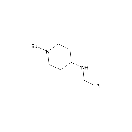 CCC(C)N1CCC(NCC(C)C)CC1